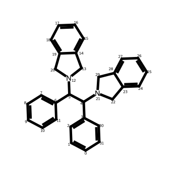 c1ccc(C(C(c2ccccc2)N2Cc3ccccc3C2)N2Cc3ccccc3C2)cc1